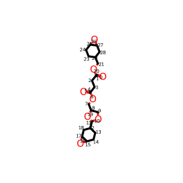 O=C(CCC(=O)OCC1COC(C2CCC3OC3C2)O1)OCC1CCC2OC2C1